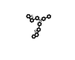 c1ccc(-c2ccc(N(c3ccc(-c4ccc5c(c4)sc4c6ccccc6ccc54)cc3)c3cccc(-c4cccc5c4sc4ccccc45)c3)cc2)cc1